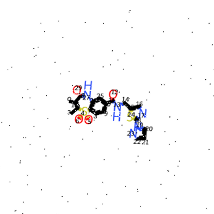 CC1=C(C)S(=O)(=O)c2ccc(C(=O)NCc3cnc(-n4cccn4)s3)cc2NC1=O